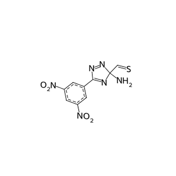 NC1(C=S)N=NC(c2cc([N+](=O)[O-])cc([N+](=O)[O-])c2)=N1